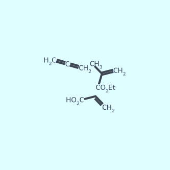 C=C(C)C(=O)OCC.C=C=C.C=CC(=O)O